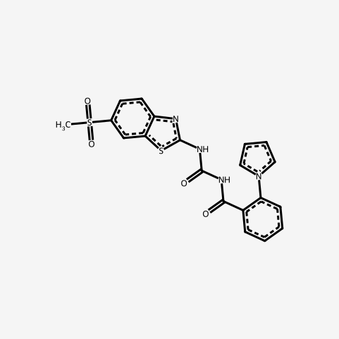 CS(=O)(=O)c1ccc2nc(NC(=O)NC(=O)c3ccccc3-n3cccc3)sc2c1